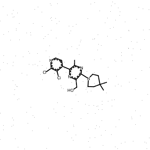 Cc1nc(N2CCC(C)(C)CC2)c(CO)nc1-c1ccnc(Cl)c1Cl